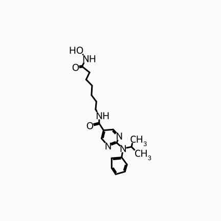 CC(C)N(c1ccccc1)c1ncc(C(=O)NCCCCCCC(=O)NO)cn1